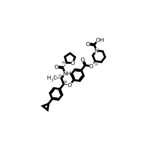 C[C@H](NC(=O)[C@@H]1CCCO1)[C@H](Oc1ccc(C(=O)O[C@H]2CCCN(C(=O)O)C2)cc1)c1ccc(C2CC2)cc1